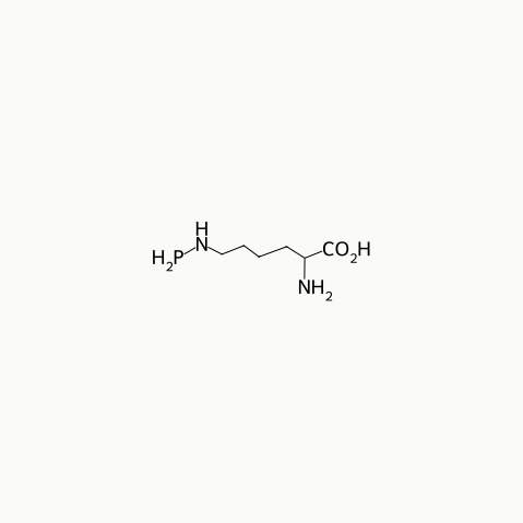 NC(CCCCNP)C(=O)O